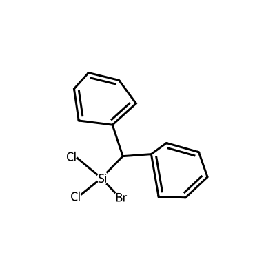 Cl[Si](Cl)(Br)C(c1ccccc1)c1ccccc1